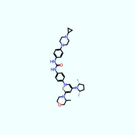 CC1COCCN1C1=CC(N2[C@H](C)CC[C@@H]2C)=CN(c2ccc(NC(=O)Nc3ccc(N4CCN(C5CC5)CC4)cc3)cc2)S1